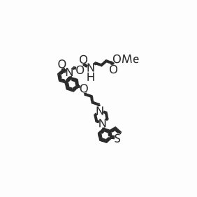 COC(=O)CCCNC(=O)OCn1c(=O)ccc2ccc(OCCCCN3CCN(c4cccc5sccc45)CC3)cc21